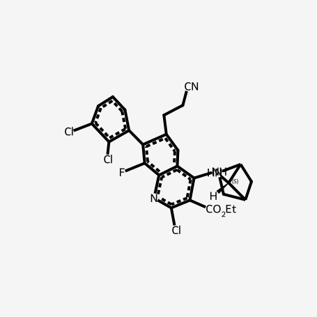 CCOC(=O)c1c(Cl)nc2c(F)c(-c3cccc(Cl)c3Cl)c(CCC#N)cc2c1N[C@H]1C2CNC1C2